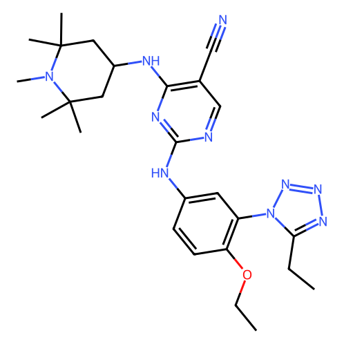 CCOc1ccc(Nc2ncc(C#N)c(NC3CC(C)(C)N(C)C(C)(C)C3)n2)cc1-n1nnnc1CC